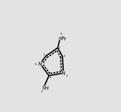 CCCc1cnc(S)nc1